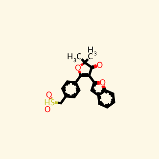 CC1(C)OC(c2ccc(C[SH](=O)=O)cc2)=C(c2cc3ccccc3o2)C1=O